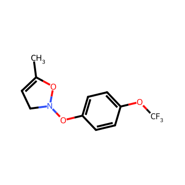 CC1=CCN(Oc2ccc(OC(F)(F)F)cc2)O1